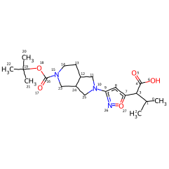 CC(C)C(C(=O)O)c1cc(N2CC3CCN(C(=O)OC(C)(C)C)CC3C2)no1